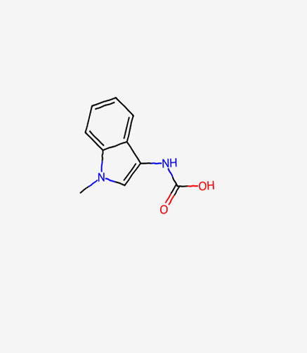 Cn1cc(NC(=O)O)c2ccccc21